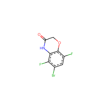 O=C1COc2c(F)cc(Br)c(F)c2N1